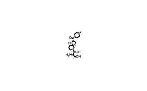 C[C@@H](O)[C@H](N)C(O)N1CCCC2(C1)N[C@H](C(=O)N1CCN(C)CC1)CS2